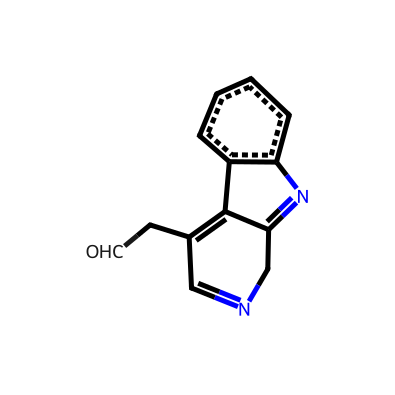 O=CCC1=C2C(=Nc3ccccc32)CN=C1